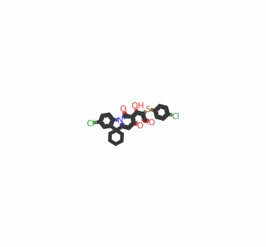 O=c1oc2cc3n(c(=O)c2c(O)c1Sc1ccc(Cl)cc1)-c1ccc(Cl)cc1C31CCCCC1